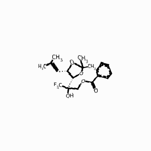 CC(C)=C[C@@H]1OC(C)(C)O[C@@H]1C(O)(COC(=O)c1ccccc1)C(F)(F)F